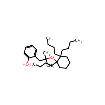 CCCCC1(CCCC)CCCCC1(CCCC)OC(C)(C)Cc1ccccc1O